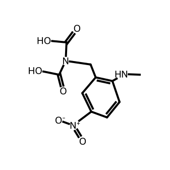 CNc1ccc([N+](=O)[O-])cc1CN(C(=O)O)C(=O)O